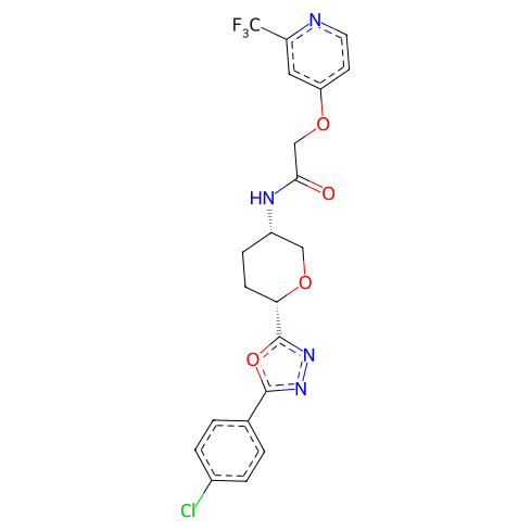 O=C(COc1ccnc(C(F)(F)F)c1)N[C@H]1CC[C@@H](c2nnc(-c3ccc(Cl)cc3)o2)OC1